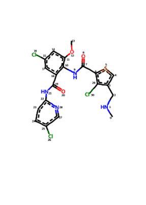 CNCc1csc(C(=O)Nc2c(OC)cc(Cl)cc2C(=O)Nc2ccc(Cl)cn2)c1Cl